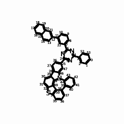 c1ccc(-c2nc(-c3cccc(-c4ccc5ccccc5c4)c3)nc(-c3ccc4c5ccc6sc7cccc8c9ccccc9n(c4c3)c5c6c78)n2)cc1